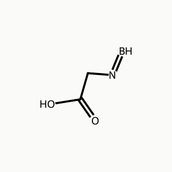 B=NCC(=O)O